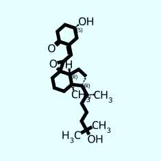 C[C@H](CCCC(C)(C)O)[C@H]1CC[C@H]2C3(CCC[C@]12C)OC3C=C1C[C@@H](O)CCC1=O